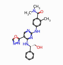 Cc1cc(Nc2ncc(-c3nnco3)c(N[C@H](CO)c3ccccc3)n2)ccc1C(=O)N(C)C